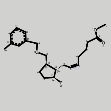 COC(=O)CCC/C=C\C[C@H]1[C@H](COCc2cccc(C)c2)CC[C@@H]1F